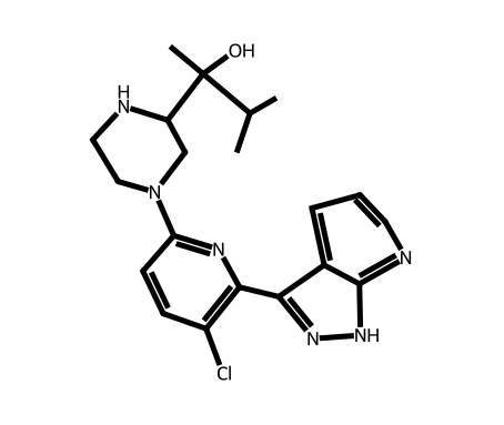 CC(C)C(C)(O)C1CN(c2ccc(Cl)c(-c3n[nH]c4ncccc34)n2)CCN1